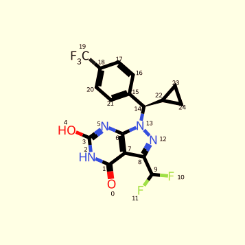 O=c1[nH]c(O)nc2c1c(C(F)F)nn2[C@@H](c1ccc(C(F)(F)F)cc1)C1CC1